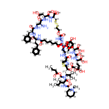 CCCC(=O)OCN(C(=O)[C@@H](NC(=O)[C@H]1CCCCCN1C)C(C)CC)[C@H](C[C@@H](OC(C)=O)c1nc(C(=O)N[C@@H](Cc2ccc(O)cc2)C[C@H](C)C(=O)NNC(=O)OCCSSC[C@H](NC(=O)[C@H](CC(=O)O)NC(=O)[C@@H](N)CNC(=O)[C@H](Cc2ccccc2)NC(=O)[C@H](CCc2ccccc2)NC(=O)CCCCCCCNC(=O)CC[C@H](NC(=O)N[C@@H](CCC(=O)O)C(=O)O)C(=O)O)C(=O)O)cs1)C(C)C